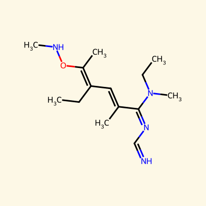 CCC(/C=C(C)/C(=N\C=N)N(C)CC)=C(/C)ONC